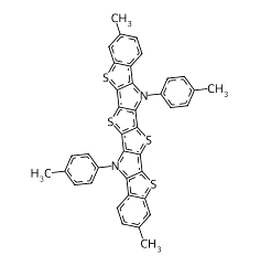 Cc1ccc(-n2c3c4ccc(C)cc4sc3c3sc4c(sc5c6sc7cc(C)ccc7c6n(-c6ccc(C)cc6)c54)c32)cc1